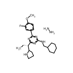 CC[C@H](c1nc(NCC2CCCCC2)nc(-c2ccc(OC)c(F)c2)n1)C1CCCN1.NN